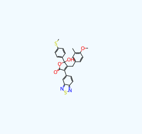 COc1ccc(CC2=C(c3ccc4nsnc4c3)C(=O)OC2(O)c2ccc(SC)cc2)cc1C